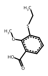 CCSc1cccc(C(=O)O)c1OC